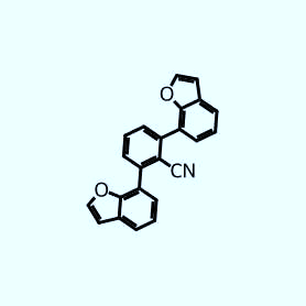 N#Cc1c(-c2cccc3ccoc23)cccc1-c1cccc2ccoc12